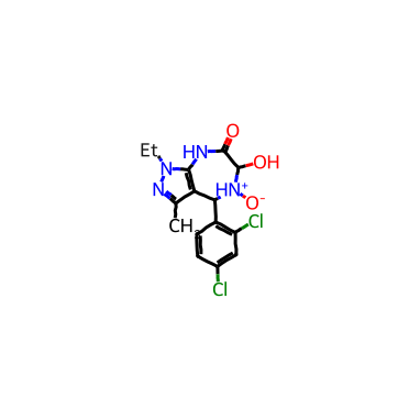 CCn1nc(C)c2c1NC(=O)C(O)[NH+]([O-])C2c1ccc(Cl)cc1Cl